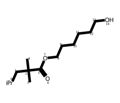 CC(C)CC(C)(C)C(=O)OCCCCCCO